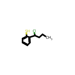 CCCC(Cl)c1ccccc1S